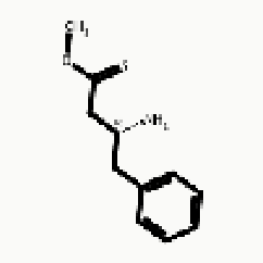 COC(=S)C[C@H](N)Cc1ccccc1